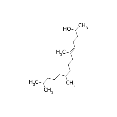 C/C(=C\CCC(C)O)CCCC(C)CCCC(C)C